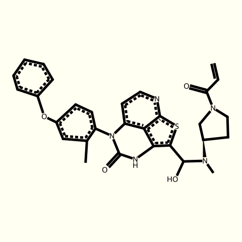 C=CC(=O)N1CC[C@@H](N(C)C(O)c2sc3nccc4c3c2NC(=O)N4c2ccc(Oc3ccccc3)cc2C)C1